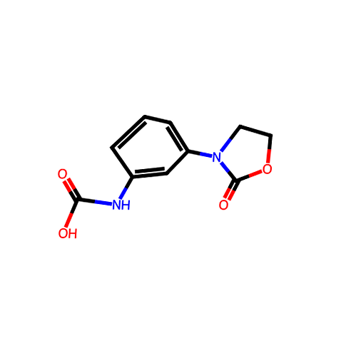 O=C(O)Nc1cccc(N2CCOC2=O)c1